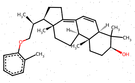 Cc1ccccc1OC[C@@H](C)[C@H]1CCC2=C3C=C[C@H]4C(C)(C)[C@@H](O)CC[C@]4(C)[C@H]3CC[C@@]21C